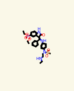 CCNCCN(c1ccc(N/C(=C2\C(=O)Nc3ccc(P(=O)(OCC)OCC)cc32)c2ccccc2)cc1)S(C)(=O)=O